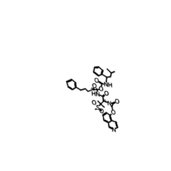 CC(C)CC(NC(=O)OC1(NC(=O)[C@@H](N2C(=O)C2Oc2cccc3cnccc23)C(C)(C)S(C)(=O)=O)O[C@@H]1CCCc1ccccc1)c1ccccc1